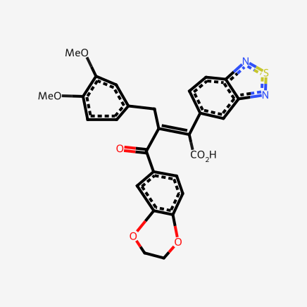 COc1ccc(CC(C(=O)c2ccc3c(c2)OCCO3)=C(C(=O)O)c2ccc3nsnc3c2)cc1OC